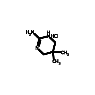 CC1(C)CN=C(N)NC1.Cl